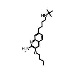 CCCCOc1cc2ccc(CCCCNC(C)(C)C)cc2nc1N